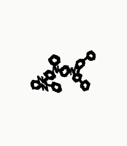 c1ccc(-c2ccc3c(c2)c2cc(-c4ccccc4)ccc2n3-c2ccc(N(c3ccccc3)c3ccc(-c4nc5ccccc5nc4-c4ccccc4)cc3)cc2)cc1